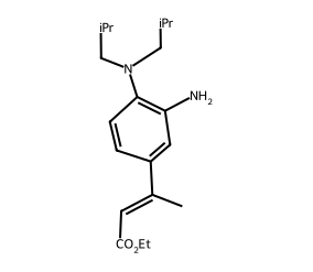 CCOC(=O)/C=C(\C)c1ccc(N(CC(C)C)CC(C)C)c(N)c1